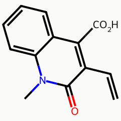 C=Cc1c(C(=O)O)c2ccccc2n(C)c1=O